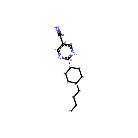 CCCC[C@H]1CC[C@H](c2ncc(C#N)cn2)CC1